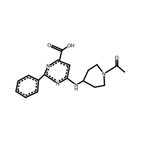 CC(=O)N1CCC(Nc2cc(C(=O)O)nc(-c3ccccc3)n2)CC1